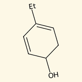 CCC1=CCC(O)C=C1